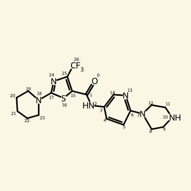 O=C(Nc1ccc(N2CCNCC2)nc1)c1sc(N2CCCCC2)nc1C(F)(F)F